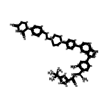 Cc1cc(-c2n[nH]c3ncc(-c4ccc(N5CCN(CCc6ccc([C@@H]7CCC(=O)NC7=O)cc6)CC5)cc4)cc23)ccc1[C@@H](C)NC(=O)c1noc(C(C)(C)C)n1